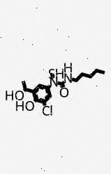 CCCCCNC(=O)N(S)c1cc(Cl)c(O)c(C(C)O)c1